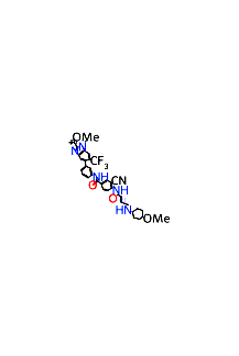 CO[C@H](C)c1nc2cc(-c3cccc(NC(=O)c4ccc(NC(=O)/C=C/CN[C@H]5CC[C@H](OC)CC5)c(C#N)c4)c3)c(C(F)(F)F)cc2n1C